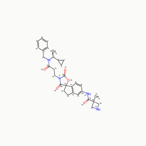 C[C@@H](C1CC1)N(Cc1ccccc1)C(=O)CCN1C(=O)OC2(CCc3cc(NC(=O)C4(C)CNC4)ccc32)C1=O